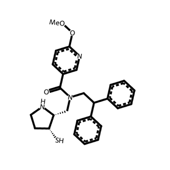 COOc1ccc(C(=O)N(CC(c2ccccc2)c2ccccc2)C[C@H]2NCC[C@H]2S)cn1